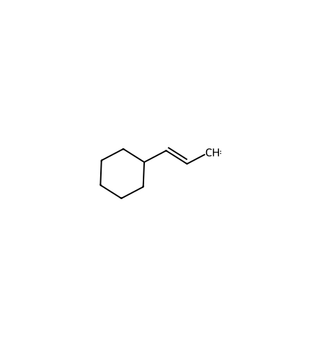 [CH]C=CC1CCCCC1